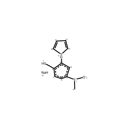 C[S+]([O-])c1ccc(S)c([SH]2C=CC=C2)c1.[NaH]